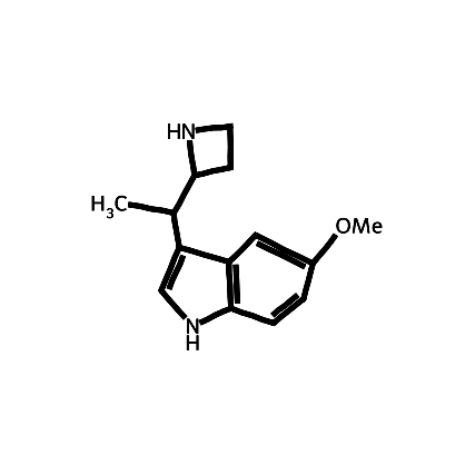 COc1ccc2[nH]cc(C(C)C3CCN3)c2c1